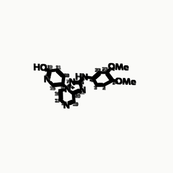 COc1ccc(NC2=N[N+]3(c4ccc(O)nc4)C=CN=CC3=N2)cc1OC